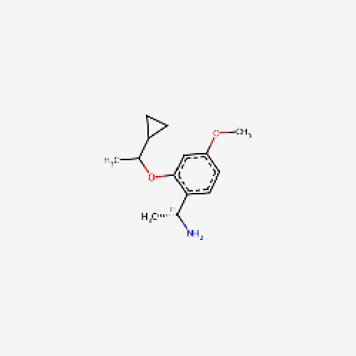 COc1ccc([C@@H](C)N)c(OC(C)C2CC2)c1